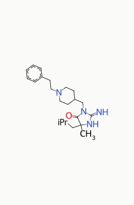 CC(C)CC1(C)NC(=N)N(CC2CCN(CCc3ccccc3)CC2)C1=O